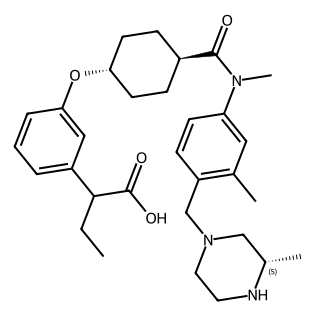 CCC(C(=O)O)c1cccc(O[C@H]2CC[C@H](C(=O)N(C)c3ccc(CN4CCN[C@@H](C)C4)c(C)c3)CC2)c1